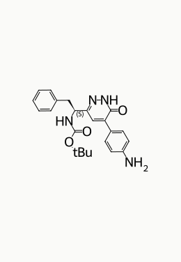 CC(C)(C)OC(=O)N[C@@H](Cc1ccccc1)c1cc(-c2ccc(N)cc2)c(=O)[nH]n1